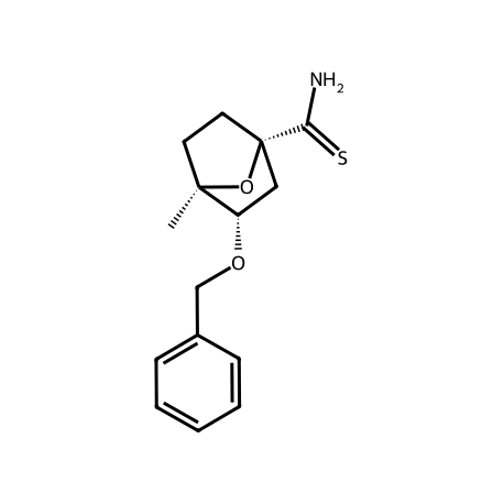 C[C@@]12CC[C@@](C(N)=S)(C[C@@H]1OCc1ccccc1)O2